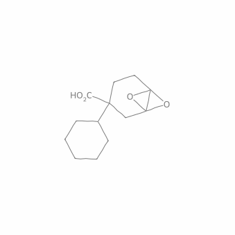 O=C(O)C1(C2CCCCC2)CCC23OC2(C1)O3